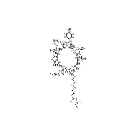 CCC(C)CC(C)CCCCCCCCC(=O)NC1C[C@@H](O)[C@@H](NCCN)NC(=O)C2[C@@H](O)CCN2C(=O)C([C@H](O)CCN)NC(=O)C([C@H](O)[C@@H](O)c2ccc(O)cc2)NC(=O)C2C[C@@H](O)CN2C(=O)C([C@@H](C)O)NC1=O